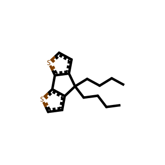 CCCCC1(CCCC)c2ccsc2-c2sccc21